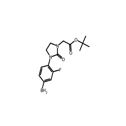 Bc1ccc(N2CCN(CC(=O)OC(C)(C)C)C2=O)c(F)c1